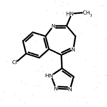 CNC1=Nc2ccc(Cl)cc2C(c2cnn[nH]2)=NC1